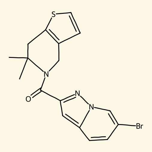 CC1(C)Cc2sccc2CN1C(=O)c1cc2ccc(Br)cn2n1